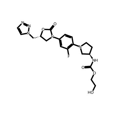 O=C(N[C@@H]1CCN(c2ccc(N3C[C@H](Cn4ccnn4)OC3=O)cc2F)C1)OCCO